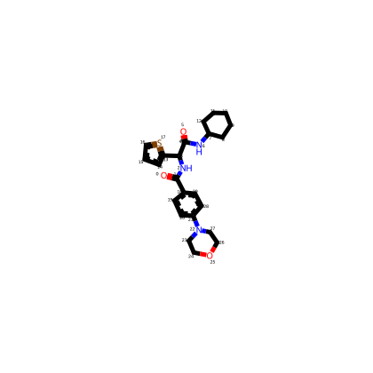 O=C(NC(C(=O)NC1CCCCC1)c1cccs1)c1ccc(N2CCOCC2)cc1